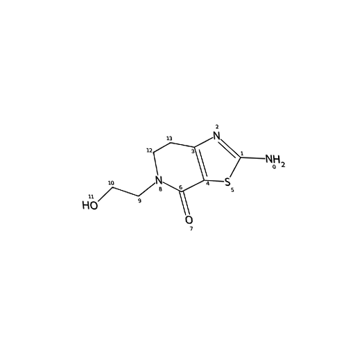 Nc1nc2c(s1)C(=O)N(CCO)CC2